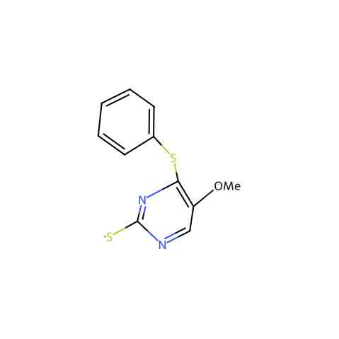 COc1cnc([S])nc1Sc1ccccc1